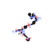 CC(C)C(NC(=O)CCCCCN1C(=O)C=CC1=O)C(=O)N[C@@H](CCCNC(N)=O)C(=O)Nc1ccc(COC(=O)NCCc2ccc(-c3cnc(N)c(C(=O)Nc4cnccc4-n4ccnc4-c4ccccc4)n3)cc2)cc1